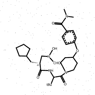 CN(C)C(=O)c1ccc(OC2CCN(C(=O)C(NC(=O)[C@H](CC3CCCC3)CN(O)C=O)C(C)(C)C)CC2)cc1